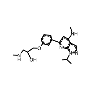 CNCC(O)COc1cccc(-c2cc(NC)c3cnn(C(C)C)c3n2)c1